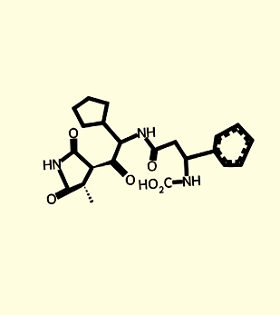 C[C@@H]1C(=O)NC(=O)[C@H]1C(=O)C(NC(=O)CC(NC(=O)O)c1ccccc1)C1CCCC1